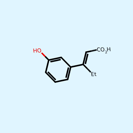 CCC(=CC(=O)O)c1cccc(O)c1